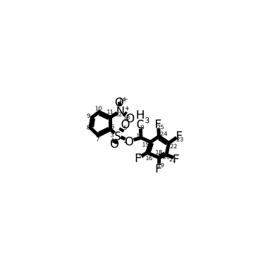 CC(OS(=O)(=O)c1ccccc1[N+](=O)[O-])c1c(F)c(F)c(F)c(F)c1F